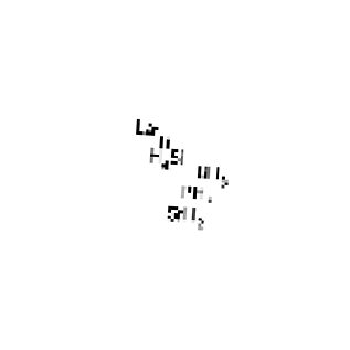 B.P.[La].[SiH4].[SrH2].[Ti]